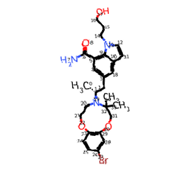 C[C@H](Cc1cc(C(N)=O)c2c(ccn2CCCO)c1)N1CCOc2ccc(Br)cc2OCC1(C)C